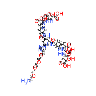 NCCOCCOCCOCCOCc1cn(-c2cc(C(=O)Nc3ccc(CC(NC(=O)N[C@@H](CCC(=O)O)C(=O)O)C(=O)O)cc3)cc(C(=O)Nc3ccc(CC(NC(=O)N[C@@H](CCC(=O)O)C(=O)O)C(=O)O)cc3)c2)nn1